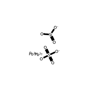 O=S(=O)([O-])[O-].O=[Si]([O-])[O-].[Pb+2].[Pb+2]